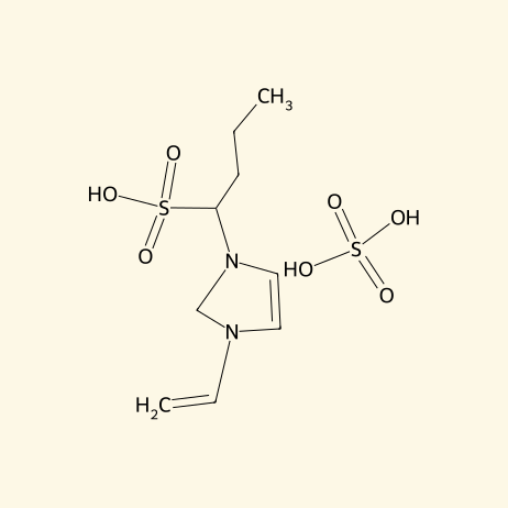 C=CN1C=CN(C(CCC)S(=O)(=O)O)C1.O=S(=O)(O)O